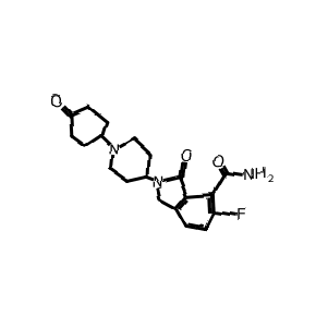 NC(=O)c1c(F)ccc2c1C(=O)N(C1CCN(C3CCC(=O)CC3)CC1)C2